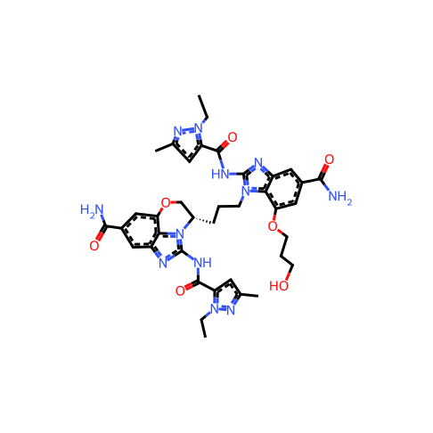 CCn1nc(C)cc1C(=O)Nc1nc2cc(C(N)=O)cc(OCCCO)c2n1CCC[C@H]1COc2cc(C(N)=O)cc3nc(NC(=O)c4cc(C)nn4CC)n1c23